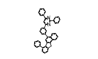 c1ccc(-c2cc(-c3cccc(-c4cc5c(c6ccccc46)Cc4cccc(-c6ccccc6)c4-5)c3)nc(-c3ccccc3)n2)cc1